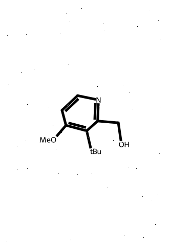 COc1ccnc(CO)c1C(C)(C)C